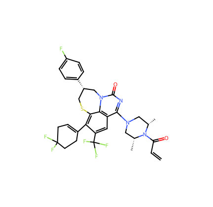 C=CC(=O)N1[C@H](C)CN(c2nc(=O)n3c4c(c(C5=CCC(F)(F)CC5)c(C(F)(F)F)cc24)SC[C@H](c2ccc(F)cc2)C3)C[C@@H]1C